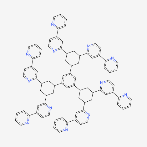 c1ccc(-c2ccnc(C3CC(c4cc(C5CC(c6cc(-c7ccccn7)ccn6)CC(c6cc(-c7ccccn7)ccn6)C5)cc(C5CC(c6cc(-c7ccccn7)ccn6)CC(c6cc(-c7ccccn7)ccn6)C5)c4)CC(c4cc(-c5ccccn5)ccn4)C3)c2)nc1